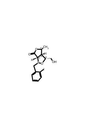 C[C@@H]1OC(=O)[C@@H]2[C@H]1[C@H](CO)ON2Cc1ccccc1I